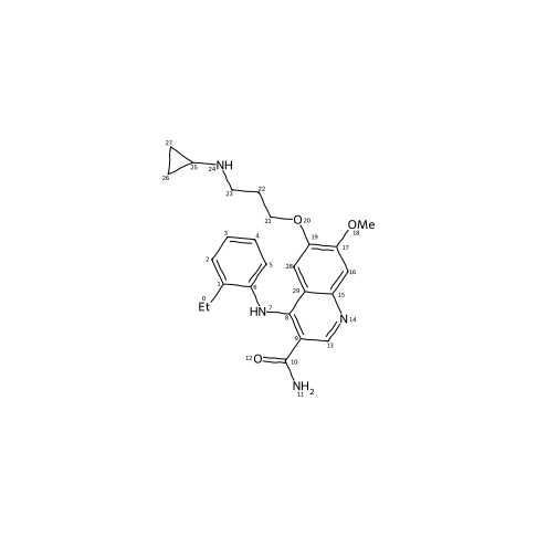 CCc1ccccc1Nc1c(C(N)=O)cnc2cc(OC)c(OCCCNC3CC3)cc12